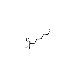 [O]C(=O)CCCCCCl